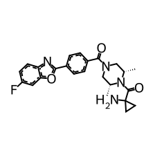 C[C@@H]1CN(C(=O)c2ccc(-c3nc4ccc(F)cc4o3)cc2)C[C@H](C)N1C(=O)C1(N)CC1